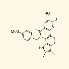 COc1ccc(CC(c2nccc3c(C)c(C)[nH]c23)N(C)c2ccc(F)cc2)cc1.Cl